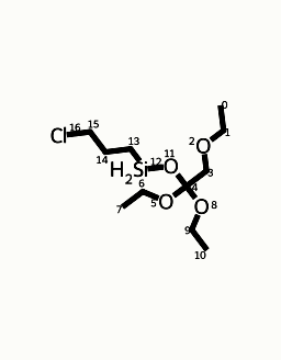 CCOCC(OCC)(OCC)O[SiH2]CCCCl